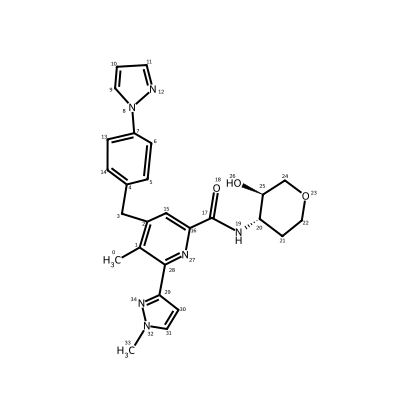 Cc1c(Cc2ccc(-n3cccn3)cc2)cc(C(=O)N[C@H]2CCOC[C@@H]2O)nc1-c1ccn(C)n1